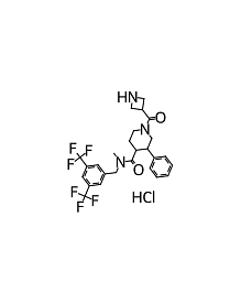 CN(Cc1cc(C(F)(F)F)cc(C(F)(F)F)c1)C(=O)C1CCN(C(=O)C2CNC2)CC1c1ccccc1.Cl